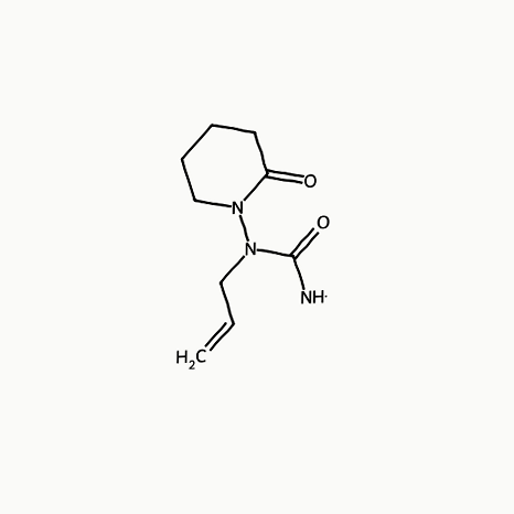 C=CCN(C([NH])=O)N1CCCCC1=O